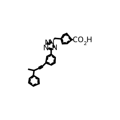 CC(C#Cc1cccc(-c2nnn(Cc3ccc(C(=O)O)cc3)n2)c1)c1ccccc1